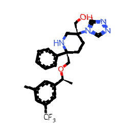 Cc1cc([C@H](C)OC[C@]2(c3ccccc3)CC[C@@](CO)(n3cnnc3)CN2)cc(C(F)(F)F)c1